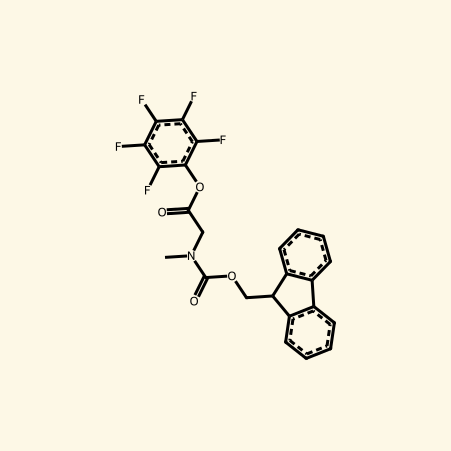 CN(CC(=O)Oc1c(F)c(F)c(F)c(F)c1F)C(=O)OCC1c2ccccc2-c2ccccc21